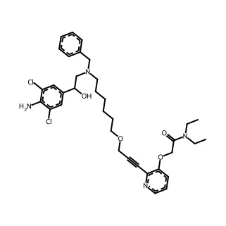 CCN(CC)C(=O)COc1cccnc1C#CCOCCCCCCN(Cc1ccccc1)CC(O)c1cc(Cl)c(N)c(Cl)c1